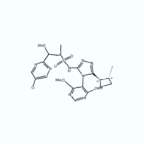 COc1ncnc(OC)c1-n1c(NS(=O)(=O)C(C)C(OC)c2ncc(Cl)cn2)nnc1[C@@H]1CC[C@H]1C